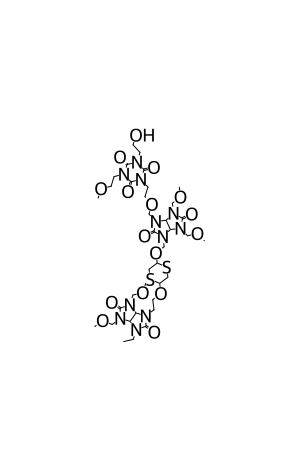 CCN1C(=O)N(CCOC2CSC(OCN3C(=O)N(COCCn4c(=O)n(CCO)c(=O)n(CCOC)c4=O)C4C3N(COC)C(=O)N4COC)CS2)C2C1N(COC)C(=O)N2COC